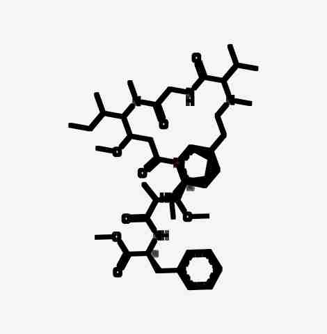 CCC(C)C(C(CC(=O)N1CCC[C@H]1C(OC)C(C)C(=O)N[C@@H](Cc1ccccc1)C(=O)OC)OC)N(C)C(=O)CNC(=O)C(C(C)C)N(C)CCc1ccc(NC)cc1